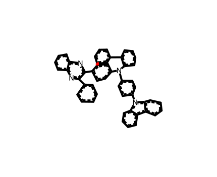 c1ccc(-c2ccccc2N(c2ccc(-c3nc4ccccc4nc3-c3ccccc3)cc2)c2ccc(-n3c4ccccc4c4ccccc43)cc2)cc1